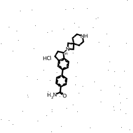 Cl.NC(=O)c1ccc(-c2ccc3c(c2)CC[C@H]3N2CC3(CCNCC3)C2)cc1